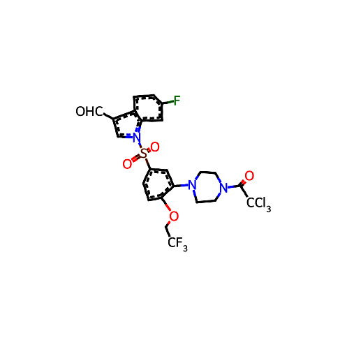 O=Cc1cn(S(=O)(=O)c2ccc(OCC(F)(F)F)c(N3CCN(C(=O)C(Cl)(Cl)Cl)CC3)c2)c2cc(F)ccc12